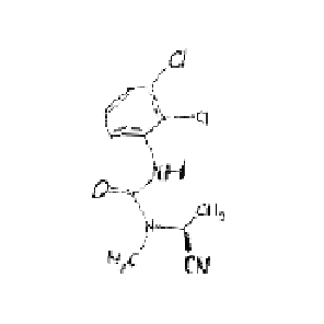 C[C@@H](C#N)N(C)C(=O)Nc1cccc(Cl)c1Cl